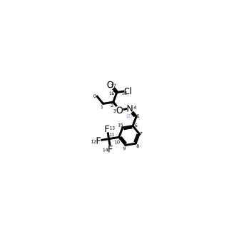 CCC(O/N=C\c1cccc(C(F)(F)F)c1)C(=O)Cl